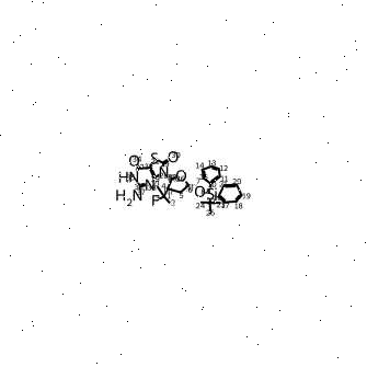 CC(C)(F)[C@@H]1C[C@@H](CO[Si](c2ccccc2)(c2ccccc2)C(C)(C)C)O[C@H]1n1c(=O)sc2c(=O)[nH]c(N)nc21